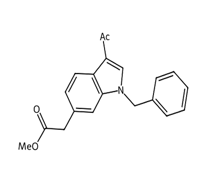 COC(=O)Cc1ccc2c(C(C)=O)cn(Cc3ccccc3)c2c1